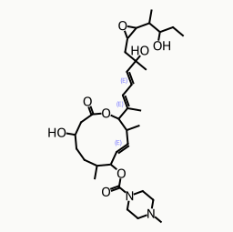 CCC(O)C(C)C1OC1CC(C)(O)/C=C/C=C(\C)C1OC(=O)CC(O)CCC(C)C(OC(=O)N2CCN(C)CC2)/C=C/C1C